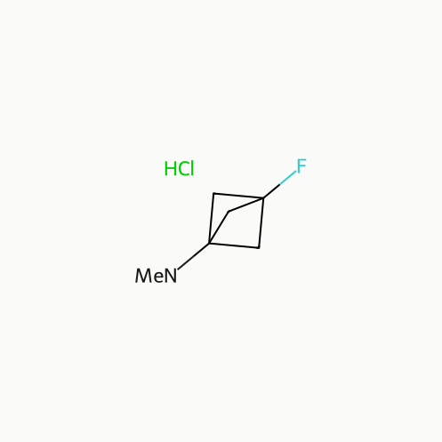 CNC12CC(F)(C1)C2.Cl